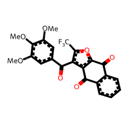 COc1cc(C(=O)c2c(C(F)(F)F)oc3c2C(=O)c2ccccc2C3=O)cc(OC)c1OC